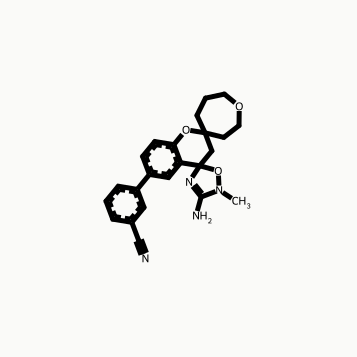 CN1OC2(CC3(CCCOCC3)Oc3ccc(-c4cccc(C#N)c4)cc32)N=C1N